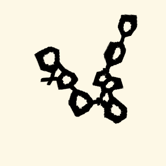 CC1(C)c2ccccc2-c2ccc(-c3cccc(-n4c5ccccc5c5ccc6c(ccn6-c6ccc(-c7ccccc7)cc6)c54)c3)cc21